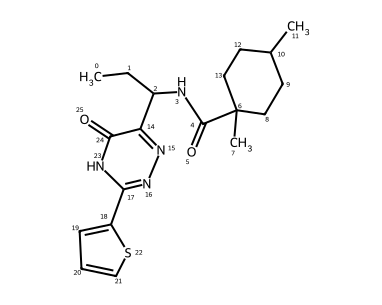 CCC(NC(=O)C1(C)CCC(C)CC1)c1nnc(-c2cccs2)[nH]c1=O